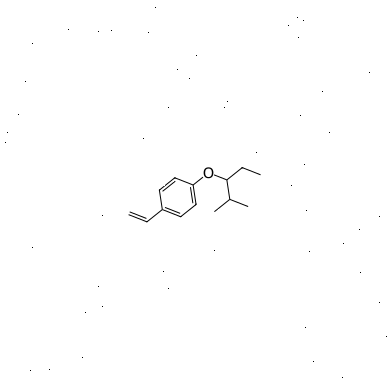 C=Cc1ccc(OC(CC)C(C)C)cc1